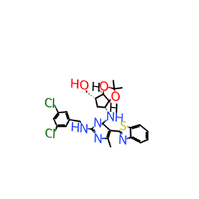 Cc1nc(NCc2cc(Cl)cc(Cl)c2)nc(N[C@@H]2C[C@H](CO)[C@H]3OC(C)(C)O[C@H]32)c1-c1nc2ccccc2s1